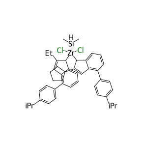 CCC1=Cc2c(-c3ccc(C(C)C)cc3)cccc2[CH]1[Zr]([Cl])([Cl])([CH]1C(C2CCCC2)=Cc2c(-c3ccc(C(C)C)cc3)cccc21)[SiH](C)C